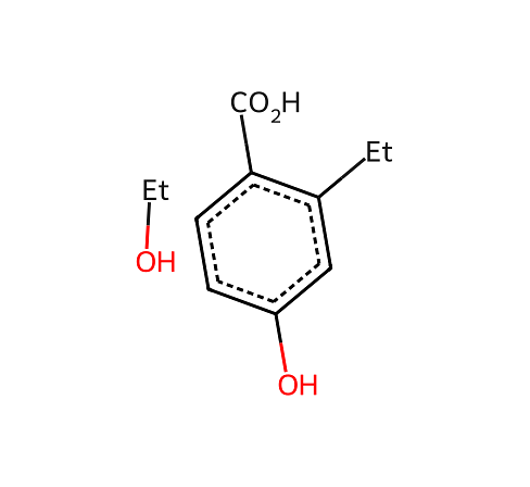 CCO.CCc1cc(O)ccc1C(=O)O